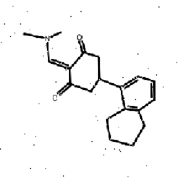 CN(C)C=C1C(=O)CC(c2cccc3c2CCCC3)CC1=O